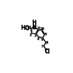 Oc1cc2cc(CCCl)ccc2[nH]1